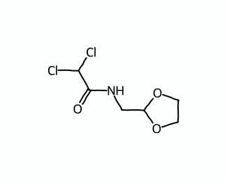 O=C(NCC1OCCO1)C(Cl)Cl